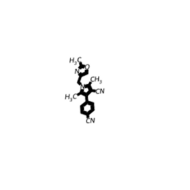 Cc1nc(Cn2c(C)c(C#N)c(-c3ccc(C#N)cc3)c2C)co1